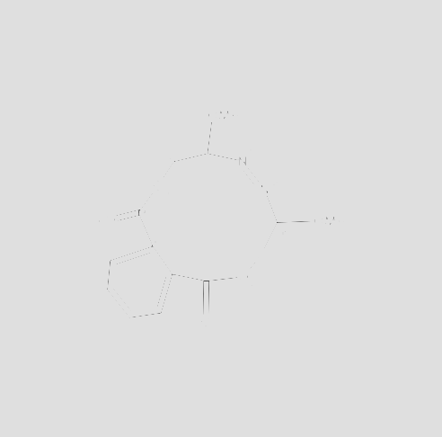 COC1COC(=O)c2ccccc2C(=O)OCC(OC)N=N1